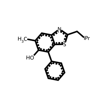 Cc1cc2nc(CC(C)C)sc2c(-c2ccccc2)c1O